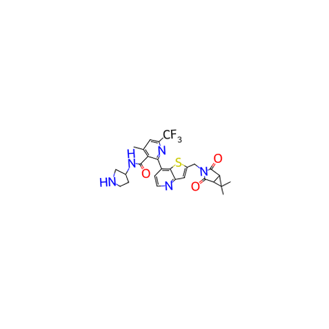 Cc1cc(C(F)(F)F)nc(-c2ccnc3cc(CN4C(=O)C5C(C4=O)C5(C)C)sc23)c1C(=O)NC1CCNC1